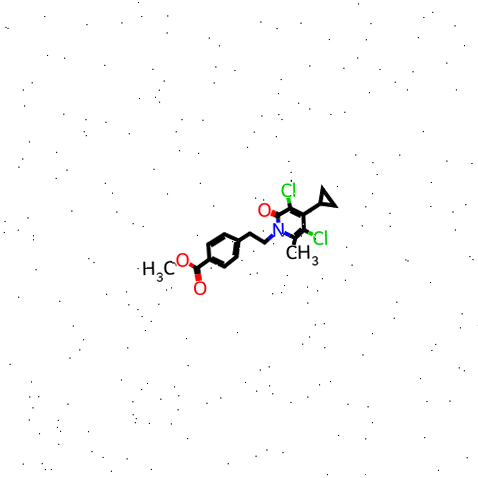 COC(=O)c1ccc(CCn2c(C)c(Cl)c(C3CC3)c(Cl)c2=O)cc1